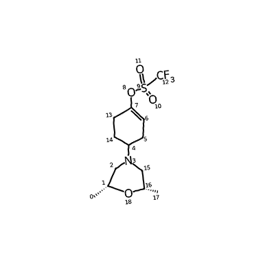 C[C@@H]1CN(C2CC=C(OS(=O)(=O)C(F)(F)F)CC2)C[C@H](C)O1